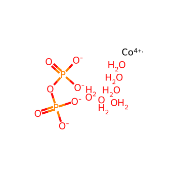 O.O.O.O.O.O.O=P([O-])([O-])OP(=O)([O-])[O-].[Co+4]